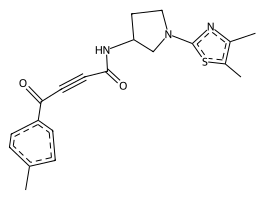 Cc1ccc(C(=O)C#CC(=O)NC2CCN(c3nc(C)c(C)s3)C2)cc1